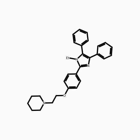 CCn1c(-c2ccc(OCCN3CCCCC3)cc2)nc(-c2ccccc2)c1-c1ccccc1